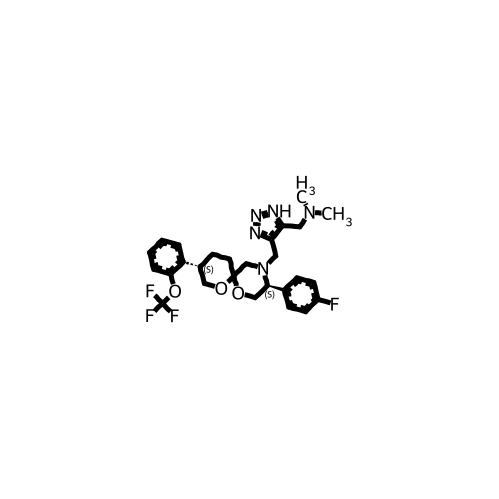 CN(C)Cc1[nH]nnc1CN1CC2(CC[C@@H](c3ccccc3OC(F)(F)F)CO2)OC[C@@H]1c1ccc(F)cc1